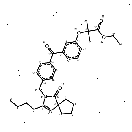 CCCCC1=NC2(CCCC2)C(=O)N1Cc1ccc(C(=O)c2cccc(OC(C)(C)C(=O)OCC)c2)cc1